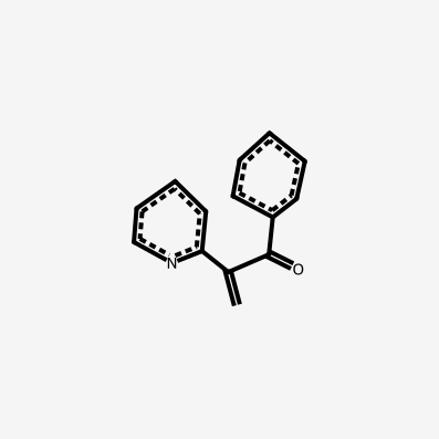 C=C(C(=O)c1ccccc1)c1ccccn1